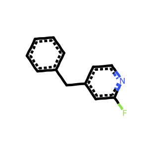 Fc1cc(Cc2ccccc2)ccn1